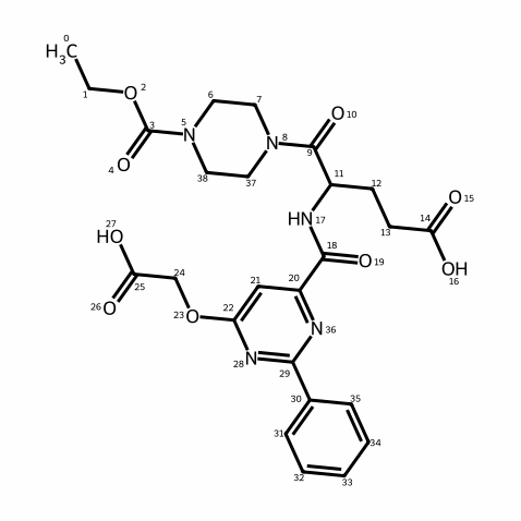 CCOC(=O)N1CCN(C(=O)C(CCC(=O)O)NC(=O)c2cc(OCC(=O)O)nc(-c3ccccc3)n2)CC1